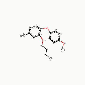 O=Cc1ccc(Oc2ccc(OC(F)(F)F)cc2)c(OCCCC(F)(F)F)c1